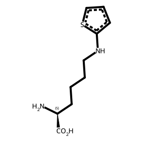 N[C@@H](CCCCNc1cccs1)C(=O)O